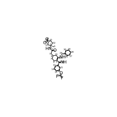 C[C@]1(NC(=O)CC2CCC(C(=N)c3cccc(OC(F)F)c3)=C(NCc3ccccc3)C2)CCS(=O)(=O)C1